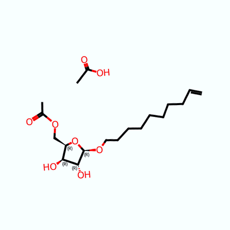 C=CCCCCCCCCO[C@@H]1O[C@H](COC(C)=O)[C@H](O)[C@H]1O.CC(=O)O